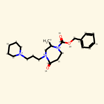 CC1CN(CCCN2CCCCC2)C(=O)CCN1C(=O)OCc1ccccc1